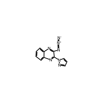 [N-]=[N+]=Nc1nc2ccccc2nc1-n1cccn1